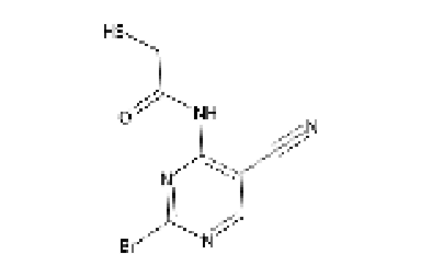 N#Cc1cnc(Br)nc1NC(=O)CS